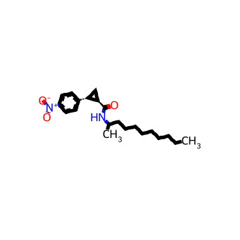 CCCCCCCCCC(C)NC(=O)[C@@H]1C[C@H]1c1ccc([N+](=O)[O-])cc1